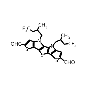 CC(Cn1c2cc(C=O)sc2c2sc3c4sc(C=O)cc4n(CC(C)CC(F)(F)F)c3c21)CC(F)(F)F